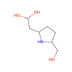 OCC1CCC(CC(O)O)N1